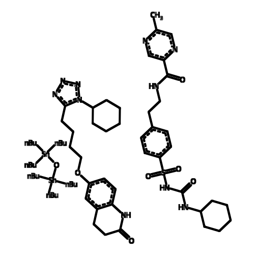 CCC[CH2][Sn]([CH2]CCC)([CH2]CCC)[O][Sn]([CH2]CCC)([CH2]CCC)[CH2]CCC.Cc1cnc(C(=O)NCCc2ccc(S(=O)(=O)NC(=O)NC3CCCCC3)cc2)cn1.O=C1CCc2cc(OCCCCc3nnnn3C3CCCCC3)ccc2N1